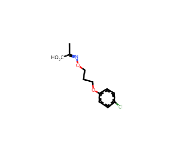 C/C(=N/OCCCOc1ccc(Cl)cc1)C(=O)O